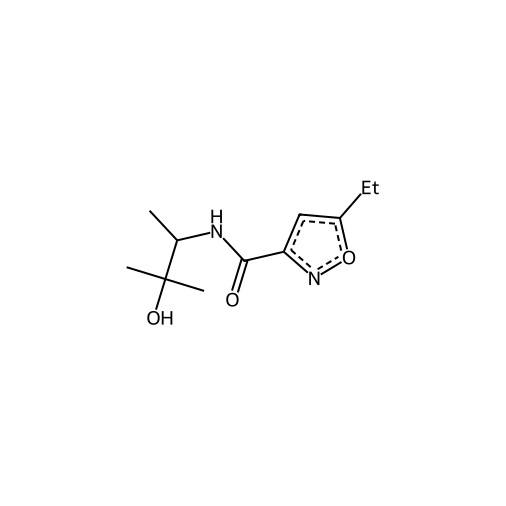 CCc1cc(C(=O)NC(C)C(C)(C)O)no1